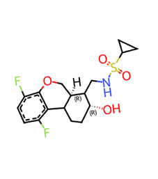 O=S(=O)(NCC1[C@@H]2COc3c(F)ccc(F)c3C2CC[C@H]1O)C1CC1